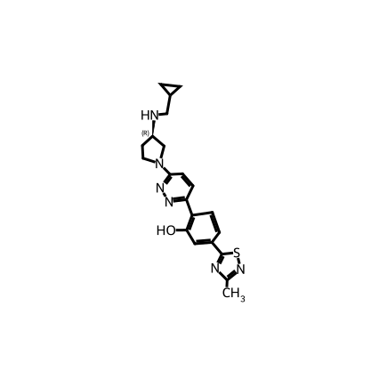 Cc1nsc(-c2ccc(-c3ccc(N4CC[C@@H](NCC5CC5)C4)nn3)c(O)c2)n1